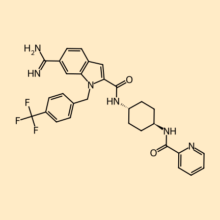 N=C(N)c1ccc2cc(C(=O)N[C@H]3CC[C@H](NC(=O)c4ccccn4)CC3)n(Cc3ccc(C(F)(F)F)cc3)c2c1